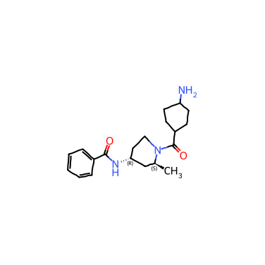 C[C@H]1C[C@H](NC(=O)c2ccccc2)CCN1C(=O)C1CCC(N)CC1